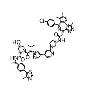 Cc1ncsc1-c1ccc([C@H](C)NC(=O)[C@@H]2C[C@@H](O)CN2C(=O)[C@H](C(C)C)n2cc(-c3ccnc(N4CC[C@H](NC(=O)C[C@@H]5N=C(c6ccc(Cl)cc6)c6c(sc(C)c6C)-n6c(C)nnc65)C4)c3)cn2)cc1